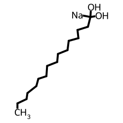 CCCCCCCCCCCCCCC[C](O)(O)[Na]